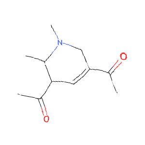 CC(=O)C1=CC(C(C)=O)C(C)N(C)C1